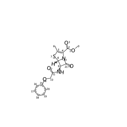 COC(=O)C1=C(C)S[C@H]2[C@H](NC(=O)COc3ccccc3)C(=O)N12